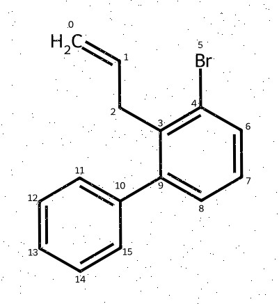 C=CCc1c(Br)cccc1-c1ccccc1